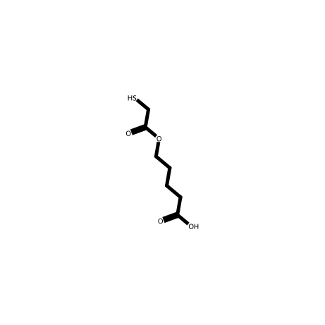 O=C(O)CCCCOC(=O)CS